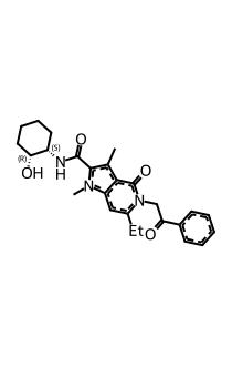 CCc1cc2c(c(C)c(C(=O)N[C@H]3CCCC[C@H]3O)n2C)c(=O)n1CC(=O)c1ccccc1